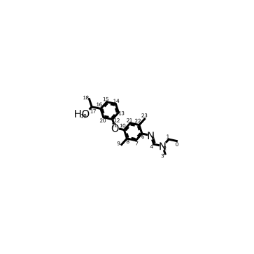 CCN(C)C=Nc1cc(C)c(Oc2cccc(C(C)O)c2)cc1C